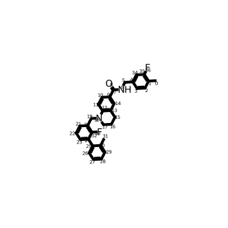 Cc1ccc(CNC(=O)c2ccc3c(c2)CCCN3Cc2cccc(-c3ccccc3C)c2F)cc1F